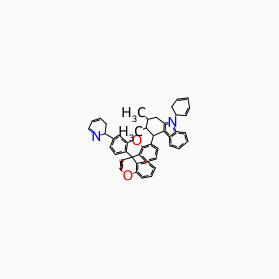 CC1Cc2c(c3ccccc3n2C2C=CC=CC2)C(c2cccc3c2Oc2cc(C4CC=CC=N4)ccc2C32c3ccccc3Oc3ccccc32)C1C